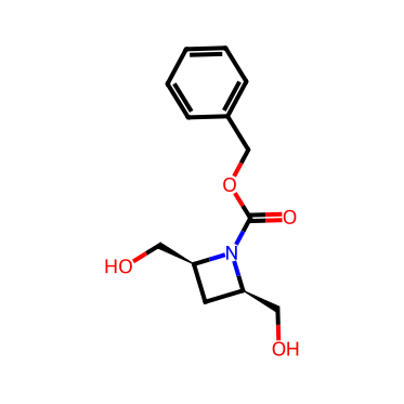 O=C(OCc1ccccc1)N1[C@H](CO)C[C@@H]1CO